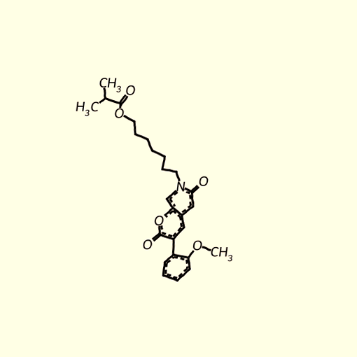 COc1ccccc1-c1cc2cc(=O)n(CCCCCCCOC(=O)C(C)C)cc2oc1=O